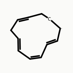 [CH]1/C=C/C=C\C=C\C/C=C/CC1